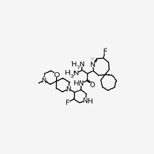 CN1CCOC2(CCN(C3C(F)CNCC3NC(=O)C(C(N)N)C3CC4(CCCCCC4)CCC(F)/C=N\3)CC2)C1